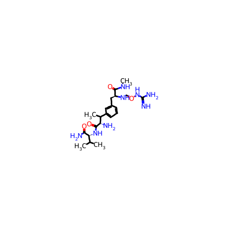 CNC(=O)[C@H](Cc1cccc(C(C)[C@H](N)C(=O)N[C@@H](C(N)=O)C(C)C)c1)NCONC(=N)N